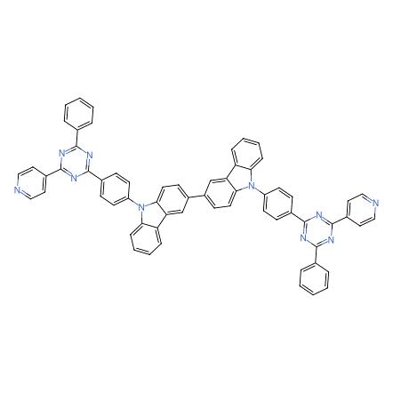 c1ccc(-c2nc(-c3ccncc3)nc(-c3ccc(-n4c5ccccc5c5cc(-c6ccc7c(c6)c6ccccc6n7-c6ccc(-c7nc(-c8ccccc8)nc(-c8ccncc8)n7)cc6)ccc54)cc3)n2)cc1